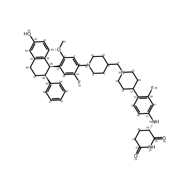 COc1cc(N2CCC(CN3CCC(c4ccc(N[C@H]5CCC(=O)NC5=O)cc4F)CC3)CC2)c(F)cc1[C@@H]1c2ccc(O)cc2CC[C@@H]1c1ccccc1